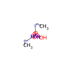 CCCCC/C=C\C/C=C\CCCCCCCCOC(=O)CC(CC(O)OCCCCCCCC/C=C\C/C=C\CCCCC)NC(=O)CN1CC(CO)C1